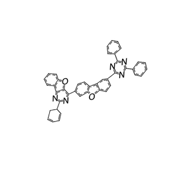 C1=CCC(c2nc(-c3ccc4c(c3)oc3ccc(-c5nc(-c6ccccc6)nc(-c6ccccc6)n5)cc34)c3oc4ccccc4c3n2)C=C1